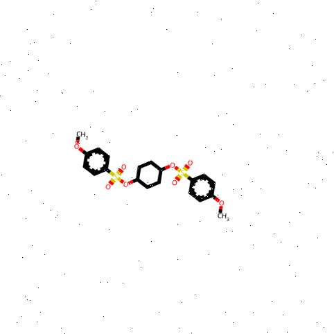 COc1ccc(S(=O)(=O)OC2CCC(OS(=O)(=O)c3ccc(OC)cc3)CC2)cc1